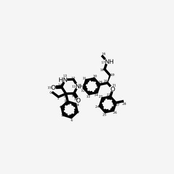 CCC1(c2ccccc2)C(=O)NCNC1=O.CNCC[C@@H](Oc1ccccc1C)c1ccccc1